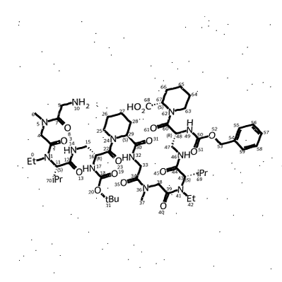 CCN(C(=O)CN(C)C(=O)CN)[C@H](C(=O)NC[C@@H](NC(=O)OC(C)(C)C)C(=O)N1CCCC[C@H]1C(=O)NCC(=O)N(C)CC(=O)N(CC)[C@H](C(=O)NC[C@@H](NC(=O)OCc1ccccc1)C(=O)N1CCCC[C@H]1C(=O)O)C(C)C)C(C)C